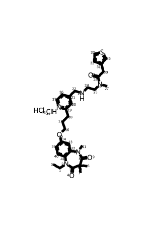 CCN1C(=O)C(C)(C)C(=O)N(C)c2cc(OCCCc3cc(CNCCN(C)C(=O)Cc4ccsc4)ccn3)ccc21.Cl.Cl